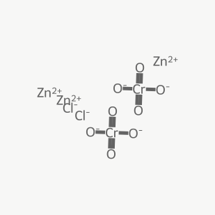 [Cl-].[Cl-].[O]=[Cr](=[O])([O-])[O-].[O]=[Cr](=[O])([O-])[O-].[Zn+2].[Zn+2].[Zn+2]